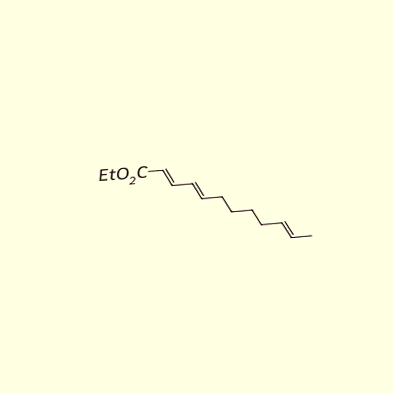 CC=CCCCCC=CC=CC(=O)OCC